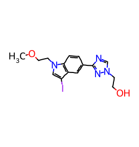 COCCn1cc(I)c2cc(-c3ncn(CCO)n3)ccc21